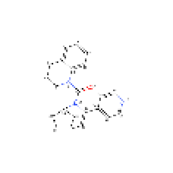 O=C(N1CCCc2ccccc21)N1C(c2ccncc2)=CC2CCC1C2